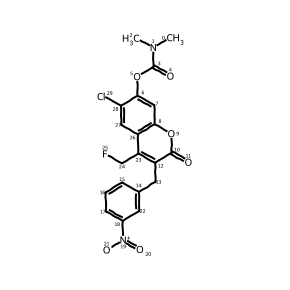 CN(C)C(=O)Oc1cc2oc(=O)c(Cc3cccc([N+](=O)[O-])c3)c(CF)c2cc1Cl